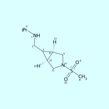 CC(C)NCC1[C@H]2CN(S(C)(=O)=O)C[C@@H]12